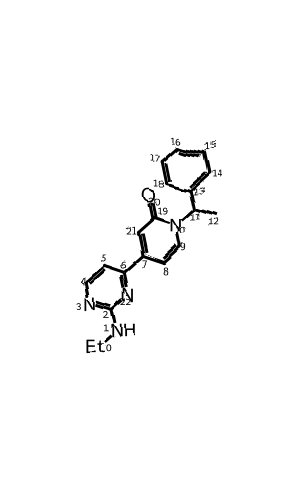 CCNc1nccc(-c2ccn(C(C)c3ccccc3)c(=O)c2)n1